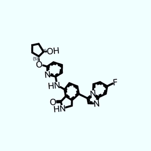 O=C1NCc2c(-c3cnc4cc(F)ccn34)ccc(Nc3cccc(O[C@H]4CCC[C@H]4O)n3)c21